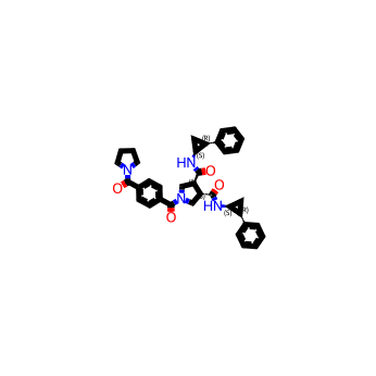 O=C(N[C@H]1C[C@@H]1c1ccccc1)[C@@H]1CN(C(=O)c2ccc(C(=O)N3CCCC3)cc2)C[C@H]1C(=O)N[C@H]1C[C@@H]1c1ccccc1